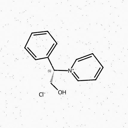 OC[C@H](c1ccccc1)[n+]1ccccc1.[Cl-]